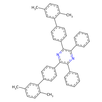 Cc1ccc(C)c(-c2ccc(-c3nc(-c4ccc(-c5cc(C)ccc5C)cc4)c(-c4ccccc4)nc3-c3ccccc3)cc2)c1